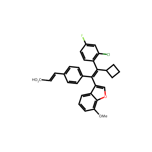 COc1cccc2c(/C(=C(/c3ccc(F)cc3Cl)C3CCC3)c3ccc(C=CC(=O)O)cc3)coc12